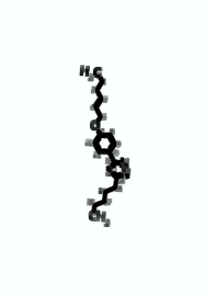 CCCC=CCOc1ccc(-c2nnc(CCCCC)s2)cc1